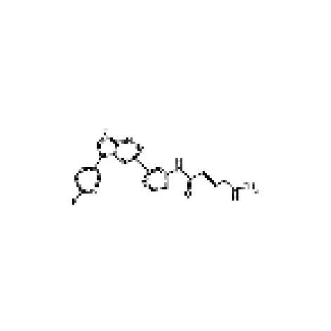 CNCC=CC(=O)Nc1cccc(-c2cnc3[nH]cc(-c4ccc(F)nc4)c3c2)c1